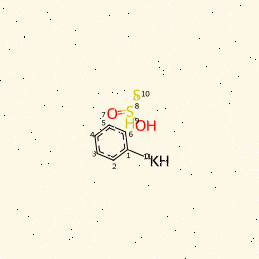 Cc1ccccc1.O=[SH](O)=S.[KH]